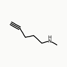 C#CCCCNC